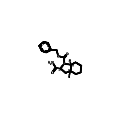 NC(=O)[C@@H]1C[C@H]2CCCC[C@H]2N1C(=O)OCc1ccccc1